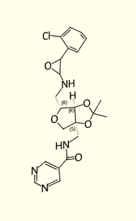 CC1(C)O[C@@H]2[C@@H](CNC3OC3c3ccccc3Cl)OC[C@]2(CNC(=O)c2cncnc2)O1